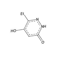 CCc1n[nH]c(=O)cc1O